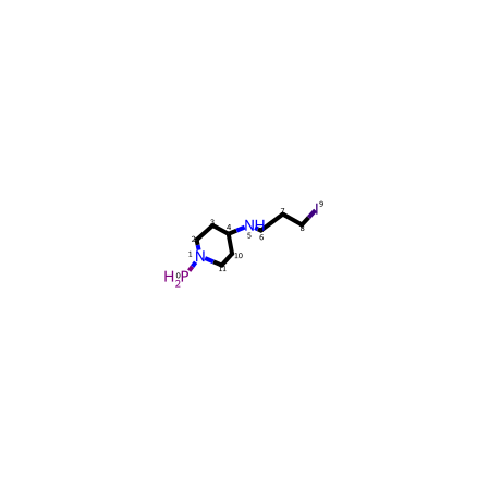 PN1CCC(NCCCI)CC1